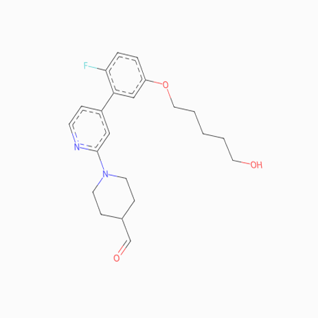 O=CC1CCN(c2cc(-c3cc(OCCCCCO)ccc3F)ccn2)CC1